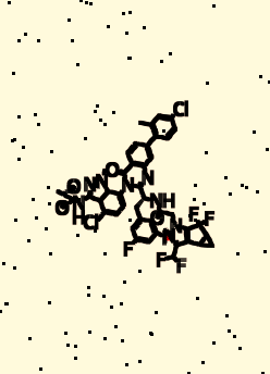 Cc1cc(Cl)ccc1-c1ccc2c(=O)n(C3=CC=C(Cl)C4C(NS(C)(=O)=O)=NN(C)C34)c([C@H](Cc3cc(F)cc(F)c3)NC(=O)Cn3nc(C(F)F)c4c3C(F)(F)C3CC43)nc2c1